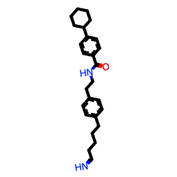 N=CCCCCc1ccc(CCNC(=O)c2ccc(C3CCCCC3)cc2)cc1